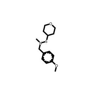 COc1ccc(CN(C)SC2CCOCC2)cc1